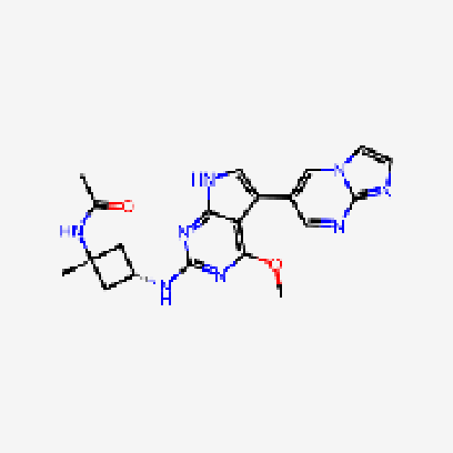 COc1nc(N[C@H]2C[C@@](C)(NC(C)=O)C2)nc2[nH]cc(-c3cnc4nccn4c3)c12